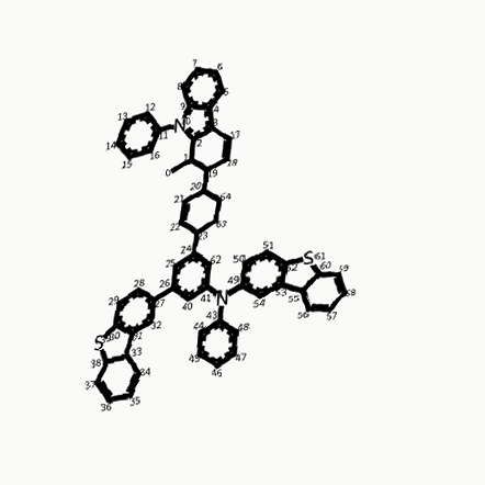 CC1c2c(c3ccccc3n2-c2ccccc2)C=CC1C1C=CC(c2cc(-c3ccc4c(c3)C3C=CC=CC3S4)cc(N(c3ccccc3)c3ccc4c(c3)C3C=CC=CC3S4)c2)CC1